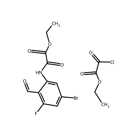 CCOC(=O)C(=O)Cl.CCOC(=O)C(=O)Nc1cc(Br)cc(F)c1C=O